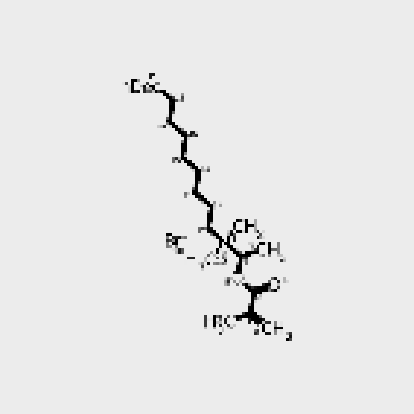 C=C(C)C(=O)OC(C)[N+](C)(C)CCCCCCCCCCCCCCCCCC.[Br-]